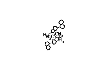 CC1=Cc2ccc(-c3cccc4ccccc34)cc2C1C(C)(C)C1C(C)=Cc2ccc(-c3cccc4ccccc34)cc21